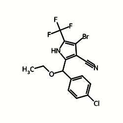 CCOC(c1ccc(Cl)cc1)c1[nH]c(C(F)(F)F)c(Br)c1C#N